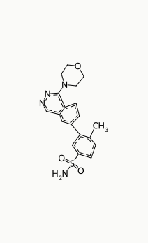 Cc1ccc(S(N)(=O)=O)cc1-c1ccc2c(N3CCOCC3)nncc2c1